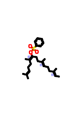 C/C=C(\C)CC/C=C(\C)CC/C(OS(=O)(=O)c1ccccc1)=C(/C)CCC=C(C)C